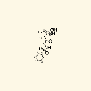 O=C(CNS(=O)(=O)c1ccccc1)N1CCCC1BO